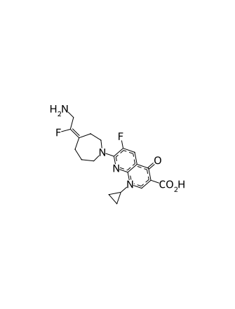 NC/C(F)=C1/CCCN(c2nc3c(cc2F)c(=O)c(C(=O)O)cn3C2CC2)CC1